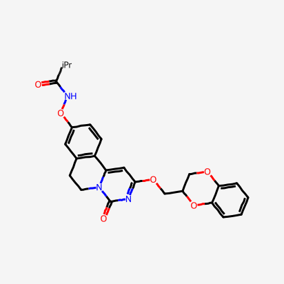 CC(C)C(=O)NOc1ccc2c(c1)CCn1c-2cc(OCC2COc3ccccc3O2)nc1=O